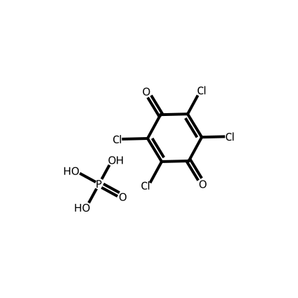 O=C1C(Cl)=C(Cl)C(=O)C(Cl)=C1Cl.O=P(O)(O)O